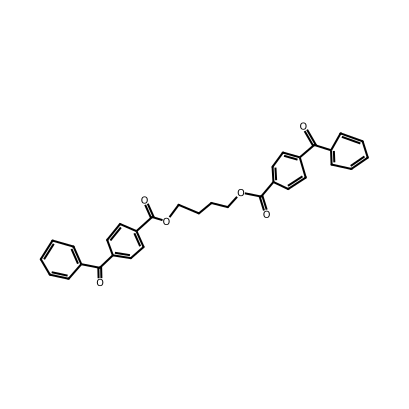 O=C(OCCCCOC(=O)c1ccc(C(=O)c2ccccc2)cc1)c1ccc(C(=O)c2ccccc2)cc1